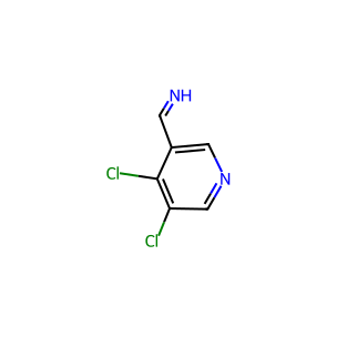 N=Cc1cncc(Cl)c1Cl